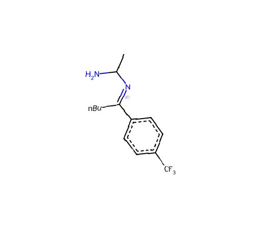 CCCC/C(=N\C(C)N)c1ccc(C(F)(F)F)cc1